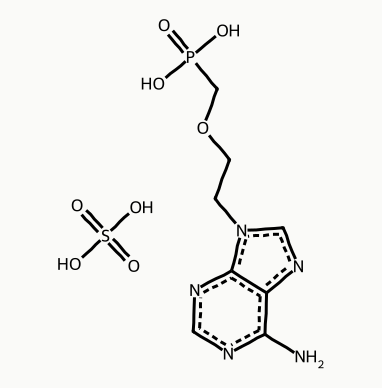 Nc1ncnc2c1ncn2CCOCP(=O)(O)O.O=S(=O)(O)O